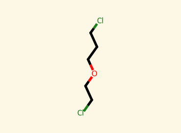 ClCCCOCCCl